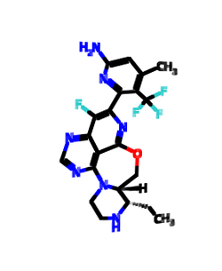 CC[C@@H]1NCCN2c3ncnc4c(F)c(-c5nc(N)cc(C)c5C(F)(F)F)nc(c34)OC[C@H]12